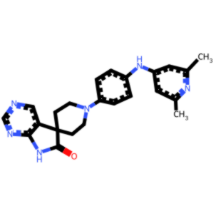 Cc1cc(Nc2ccc(N3CCC4(CC3)C(=O)Nc3ncncc34)cc2)cc(C)n1